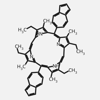 CCC1=C(C)c2nc1cc1[nH]c(c(C)c1CC)c(-c1ccc3cccc-3cc1)c1nc(cc3[nH]c(c(C)c3CC)c2-c2ccc3cccc-3cc2)C(CC)=C1C